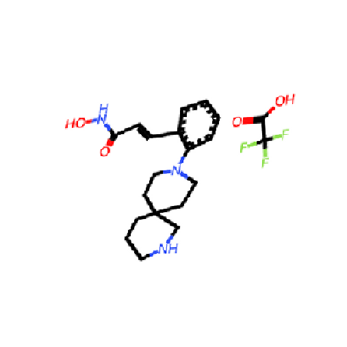 O=C(C=Cc1ccccc1N1CCC2(CCCNC2)CC1)NO.O=C(O)C(F)(F)F